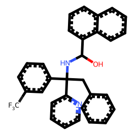 OC(NC(Cc1ccccc1)(c1cccc(C(F)(F)F)c1)c1ccccn1)c1cccc2ccccc12